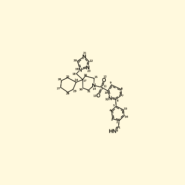 N=Cc1ccc(-c2cccc(S(=O)(=O)N3CCC(Cn4cncn4)(C4CCCCC4)CC3)n2)cc1